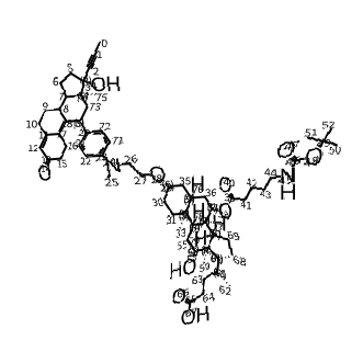 CC#C[C@@]1(O)CCC2C3CCC4=CC(=O)CCC4=C3[C@H](c3ccc(N(C)CCO[C@H]4CC[C@@]5(C)[C@@H](C4)C[C@@H](OC(=O)CCCCNC(=O)OC(C)(C)C)[C@@H]4[C@@H]5C[C@H](O)[C@]5(C)[C@@H]([C@H](C)CCC(=O)O)CC[C@@H]45)cc3)C[C@@]21C